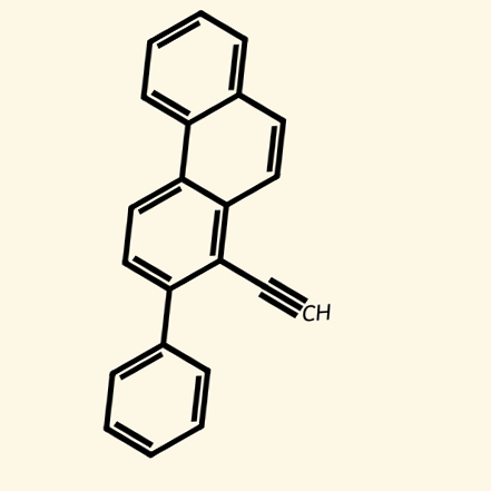 C#Cc1c(-c2ccccc2)ccc2c1ccc1ccccc12